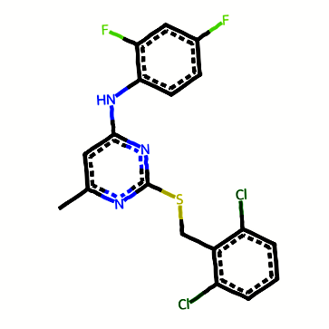 Cc1cc(Nc2ccc(F)cc2F)nc(SCc2c(Cl)cccc2Cl)n1